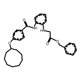 O=C(CNc1ccccc1NC(=O)c1ccc(OC2CCCCCCCC2)cc1)OCc1ccccc1